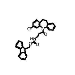 O=C(NCCC(=O)N1c2ccccc2CCc2ccc(Cl)cc21)OCC1c2ccccc2-c2ccccc21